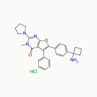 Cl.Cn1c(N2CCCC2)nc2oc(-c3ccc(C4(N)CCC4)cc3)c(-c3ccccc3)c2c1=O